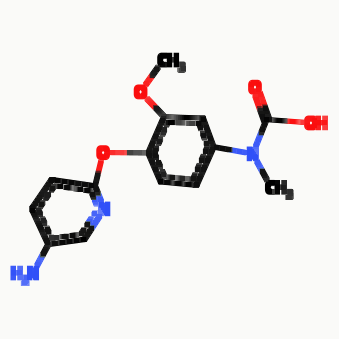 COc1cc(N(C)C(=O)O)ccc1Oc1ccc(N)cn1